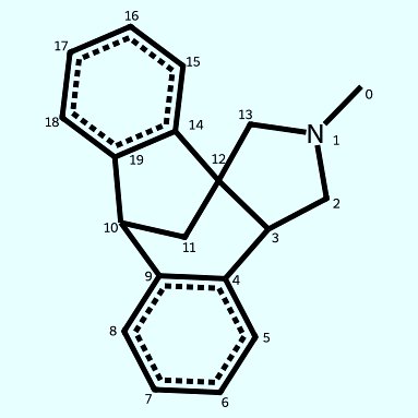 CN1CC2c3ccccc3C3CC2(C1)c1ccccc13